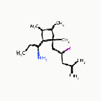 CCC(N)C1C(C)C(C)C1(C)CC(I)CC(C)C